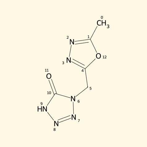 Cc1nnc(Cn2nn[nH]c2=O)o1